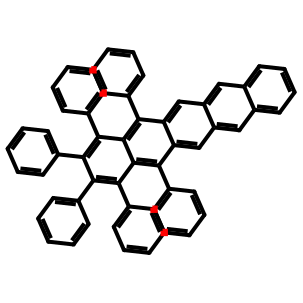 c1ccc(-c2c(-c3ccccc3)c(-c3ccccc3)c3c(-c4ccccc4)c4cc5cc6ccccc6cc5cc4c(-c4ccccc4)c3c2-c2ccccc2)cc1